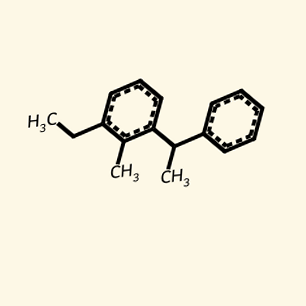 CCc1cccc(C(C)c2ccccc2)c1C